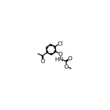 COC(=O)NOc1cc(C(C)=O)ccc1Cl